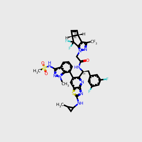 CC1CC1Nc1nc2nc([C@H](Cc3cc(F)cc(F)c3)NC(=O)Cn3nc(C(F)(F)F)c4c3C(F)(F)[C@@H]3C=C[C@H]43)c(-c3cccc4c(NS(C)(=O)=O)nn(C)c34)cc2s1